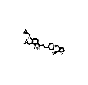 CN(C)Cc1c(OCC2CC2)ccc2c(CCC3CCN(Cc4ccsc4C#N)CC3)noc12